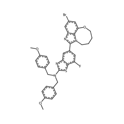 COc1ccc(CN(Cc2ccc(OC)cc2)c2nc3cc(-c4nc5cc(Br)cc6c5n4CCCCO6)cc(F)c3s2)cc1